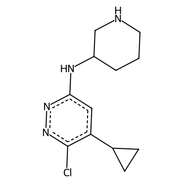 Clc1nnc(NC2CCCNC2)cc1C1CC1